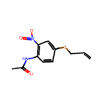 C=CCSc1ccc(NC(C)=O)c([N+](=O)[O-])c1